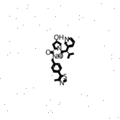 Cc1ncsc1-c1ccc(CNC(=O)[C@@H]2C[C@@H](O)CN2C(=O)[C@@H](c2cccnc2)C(C)C)cc1